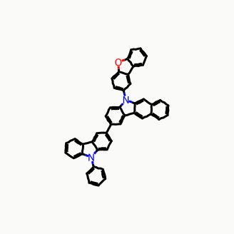 c1ccc(-n2c3ccccc3c3cc(-c4ccc5c(c4)c4cc6ccccc6cc4n5-c4ccc5oc6ccccc6c5c4)ccc32)cc1